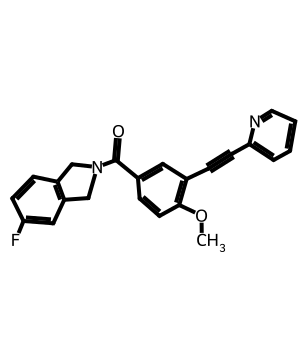 COc1ccc(C(=O)N2Cc3ccc(F)cc3C2)cc1C#Cc1ccccn1